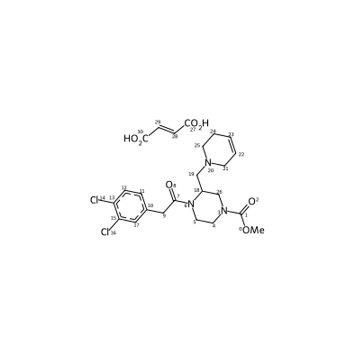 COC(=O)N1CCN(C(=O)Cc2ccc(Cl)c(Cl)c2)C(CN2CC=CCC2)C1.O=C(O)C=CC(=O)O